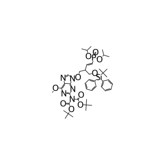 COc1nc(N(C(=O)OC(C)(C)C)C(=O)OC(C)(C)C)nc2c1ncn2OCC(C=CP(=O)(OC(C)C)OC(C)C)CO[Si](c1ccccc1)(c1ccccc1)C(C)(C)C